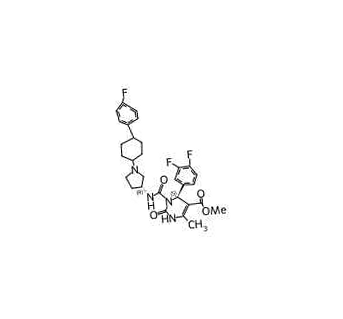 COC(=O)C1=C(C)NC(=O)N(C(=O)N[C@@H]2CCN(C3CCC(c4ccc(F)cc4)CC3)C2)[C@H]1c1ccc(F)c(F)c1